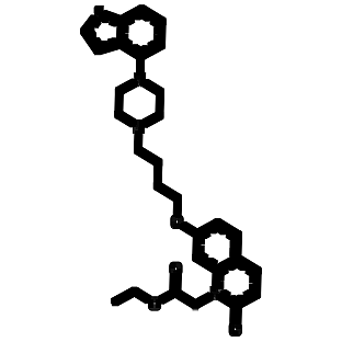 CCOC(=O)[CH]n1c(=O)ccc2ccc(OCCCCN3CCN(c4cccc5sccc45)CC3)cc21